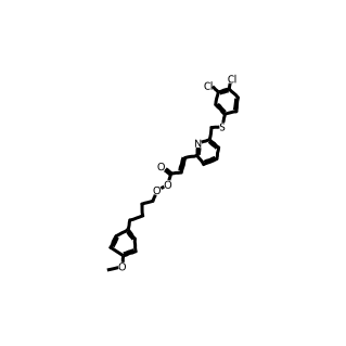 COc1ccc(CCCCOOC(=O)C=Cc2cccc(CSc3ccc(Cl)c(Cl)c3)n2)cc1